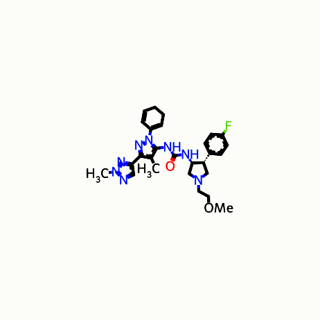 COCCN1C[C@@H](NC(=O)Nc2c(C)c(-c3cnn(C)n3)nn2C2=CCCC=C2)[C@H](c2ccc(F)cc2)C1